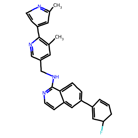 Cc1cc(-c2ncc(CNc3nccc4cc(C5=CC(F)CC=C5)ccc34)cc2C)ccn1